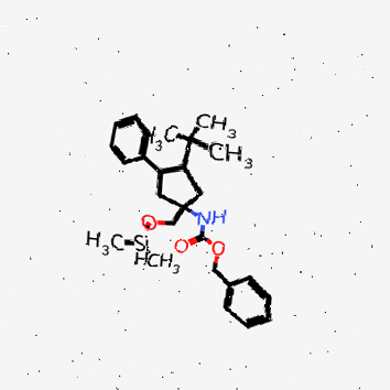 C[SiH](C)OCC1(NC(=O)OCc2ccccc2)CC(c2ccccc2)C(C(C)(C)C)C1